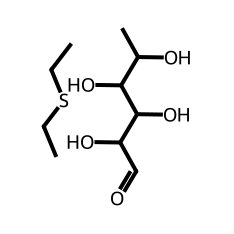 CC(O)C(O)C(O)C(O)C=O.CCSCC